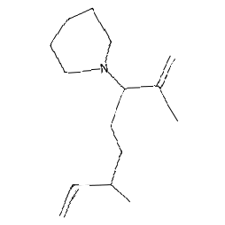 C=CC(C)CCC(C(=C)C)N1CCCCC1